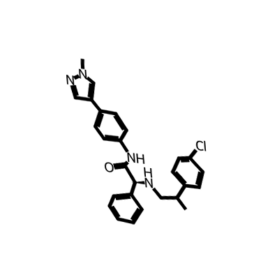 CC(CN[C@H](C(=O)Nc1ccc(-c2cnn(C)c2)cc1)c1ccccc1)c1ccc(Cl)cc1